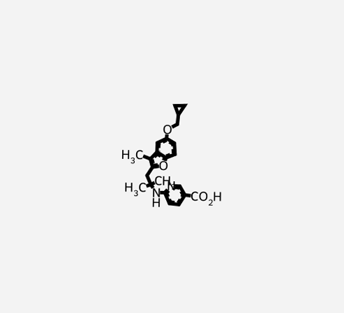 Cc1c(CC(C)(C)Nc2ccc(C(=O)O)cn2)oc2ccc(OCC3CC3)cc12